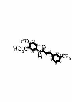 O=C(/C=C/c1cccc(C(F)(F)F)c1)Nc1ccc(O)c(C(=O)O)c1